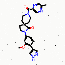 COc1cc(N2CCC3(CCN(C(=O)c4cnc(C)cn4)CC3)C2=O)ccc1-c1cn[nH]c1